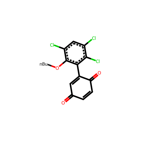 CCCCOc1c(Cl)cc(Cl)c(Cl)c1C1=CC(=O)C=CC1=O